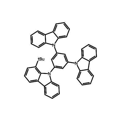 CC(C)(C)c1cccc2c3ccccc3n(-c3cc(-n4c5ccccc5c5ccccc54)cc(-n4c5ccccc5c5ccccc54)c3)c12